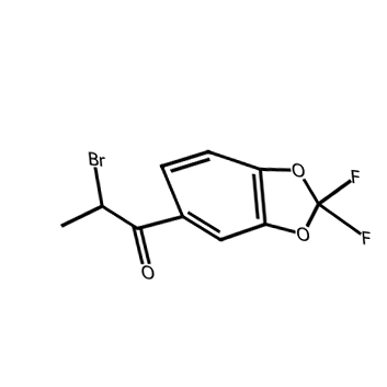 CC(Br)C(=O)c1ccc2c(c1)OC(F)(F)O2